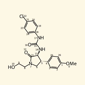 COc1ccc([C@@H]2CN(CCO)C(=O)[C@H]2NC(=O)Nc2ccc(Cl)cc2)cc1